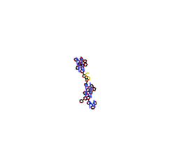 c1ccc(-c2cccc(-c3ccccc3N(c3ccc(-c4ccc5c(c4)sc4ccc(-c6cccc(N7c8ccccc8C8(c9ccccc9-c9ccc(N(c%10ccc(-c%11cccc(-n%12c%13ccccc%13c%13ccccc%13%12)c%11)cc%10)c%10ccccc%10-c%10cccc(-c%11ccccc%11)c%10)cc98)c8ccccc87)c6)cc45)cc3)c3ccc4c(c3)C3(c5ccccc5-4)c4ccccc4N(c4ccccc4)c4ccccc43)c2)cc1